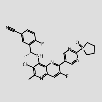 Cc1nc2cc(F)c(-c3cnc(P4(=O)CCCC4)nc3)nc2c(N[C@H](C)c2cc(C#N)ccc2F)c1Cl